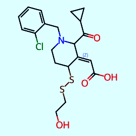 O=C(O)/C=C1\C(SSCCO)CCN(Cc2ccccc2Cl)C1C(=O)C1CC1